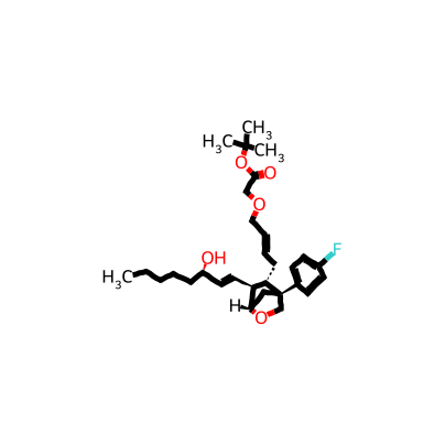 CCCCC[C@H](O)/C=C/[C@@H]1[C@@H]2C[C@@](c3ccc(F)cc3)(CO2)[C@H]1C/C=C/COCC(=O)OC(C)(C)C